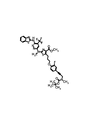 COC(=O)c1nc(N(C)c2cc(C(F)(F)F)c(Nc3nc4ccccc4s3)nn2)sc1CCCOc1ccc(C#CCN(C)C(=O)OC(C)(C)C)cc1F